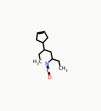 CCC(CC(CC)C1CC=CC1)N=C=O